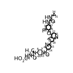 CN(C(=O)NCC(=O)O)C1CCN(C(=O)c2ccc(-c3cc4nccc(Oc5ccc(NC(=O)NC6CC6)cc5F)c4s3)nc2)CC1